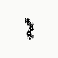 Fc1ccc(-c2cnc3cnn(Cc4nncs4)c3c2)cc1C(F)F